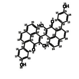 O=C1C(O)=C(C2=C(O)C(=O)c3c(-c4ccc(O)cc4)ccc4cccc2c34)c2cccc3ccc(-c4ccc(O)cc4)c1c23